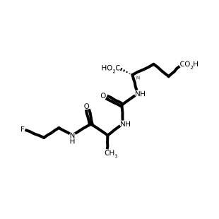 CC(NC(=O)N[C@@H](CCC(=O)O)C(=O)O)C(=O)NCCF